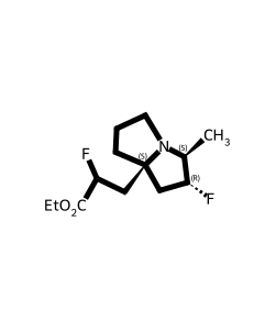 CCOC(=O)C(F)C[C@@]12CCCN1[C@@H](C)[C@H](F)C2